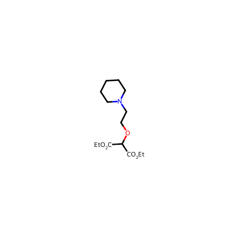 CCOC(=O)C(OCCN1CCCCC1)C(=O)OCC